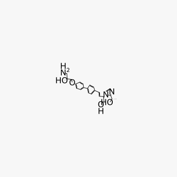 C[C@H](O)c1nccn1C(C=Cc1ccc(-c2ccc(OC[C@H](O)CN)cc2)cc1)CO